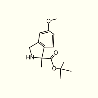 COc1ccc2c(c1)CNC2(C)C(=O)OC(C)(C)C